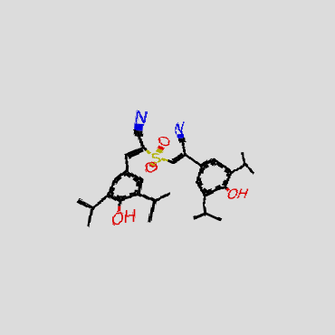 CC(C)c1cc(C=C(C#N)S(=O)(=O)C=C(C#N)c2cc(C(C)C)c(O)c(C(C)C)c2)cc(C(C)C)c1O